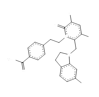 COC(=O)c1ccc(CCn2c(CN3CCc4ccc(F)cc43)c(Cl)cc(Cl)c2=O)cc1